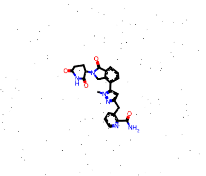 Cn1nc(Cc2cccnc2C(N)=O)cc1-c1cccc2c1CN(C1CCC(=O)NC1=O)C2=O